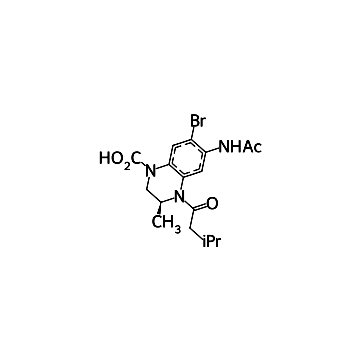 CC(=O)Nc1cc2c(cc1Br)N(C(=O)O)C[C@H](C)N2C(=O)CC(C)C